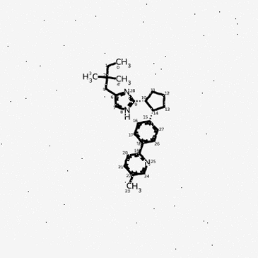 CCC(C)(C)Cc1c[nH]c([C@@H]2CCC[C@@H]2c2ccc(-c3ccc(C)cn3)cc2)n1